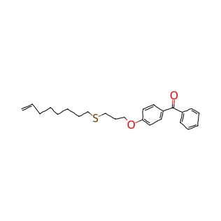 C=CCCCCCCSCCCOc1ccc(C(=O)c2ccccc2)cc1